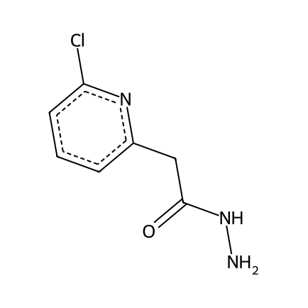 NNC(=O)Cc1cccc(Cl)n1